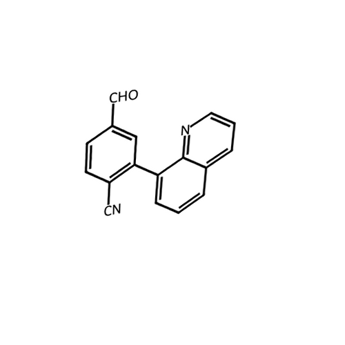 N#Cc1ccc(C=O)cc1-c1cccc2cccnc12